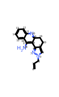 C=CCn1cc2c(n1)-c1c(nc3ccccc3c1N)CC2